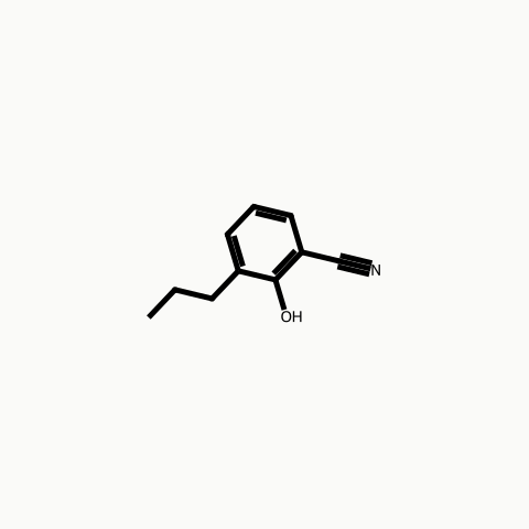 CCCc1cccc(C#N)c1O